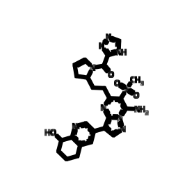 CS(=O)(=O)c1c(CCC2CC=CN2C(=O)c2nnc[nH]2)nc2c(-c3cnc4c(c3)CCCC4O)cnn2c1N